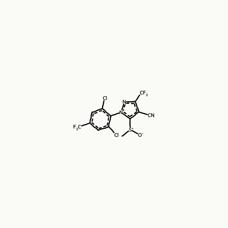 C[S+]([O-])c1c(C#N)c(C(F)(F)F)nn1-c1c(Cl)cc(C(F)(F)F)cc1Cl